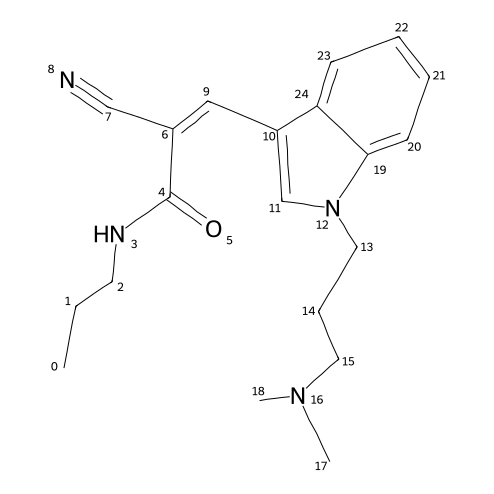 CCCNC(=O)C(C#N)=Cc1cn(CCCN(C)C)c2ccccc12